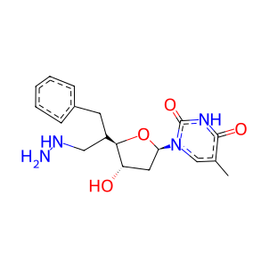 Cc1cn([C@H]2C[C@H](O)[C@@H](C(CNN)Cc3ccccc3)O2)c(=O)[nH]c1=O